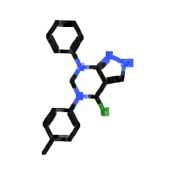 Cc1ccc(N2CN(c3ccccc3)c3n[nH]cc3C2Cl)cc1